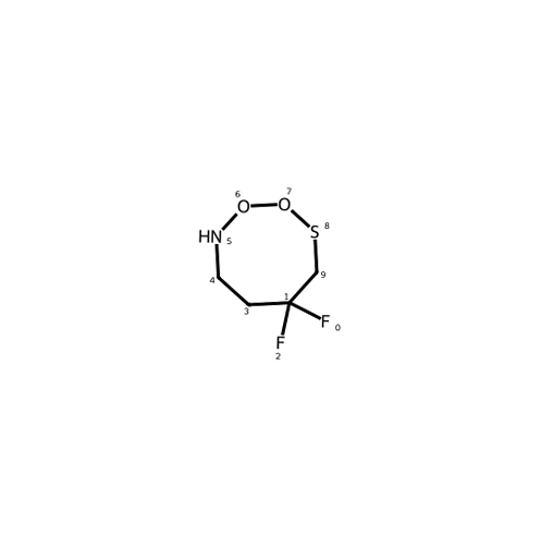 FC1(F)CCNOOSC1